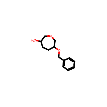 OC1CCC(OCc2ccccc2)COC1